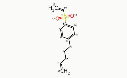 C=CCCCc1ccc(S(=O)(=O)C=C)cc1